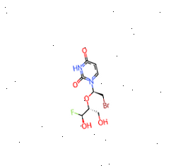 O=c1ccn([C@@H](CBr)O[C@H](CO)[C@@H](O)F)c(=O)[nH]1